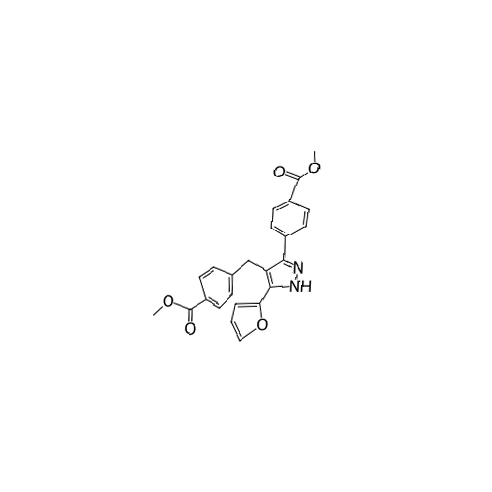 COC(=O)c1ccc(Cc2c(-c3ccc(C(=O)OC)cc3)n[nH]c2-c2ccco2)cc1